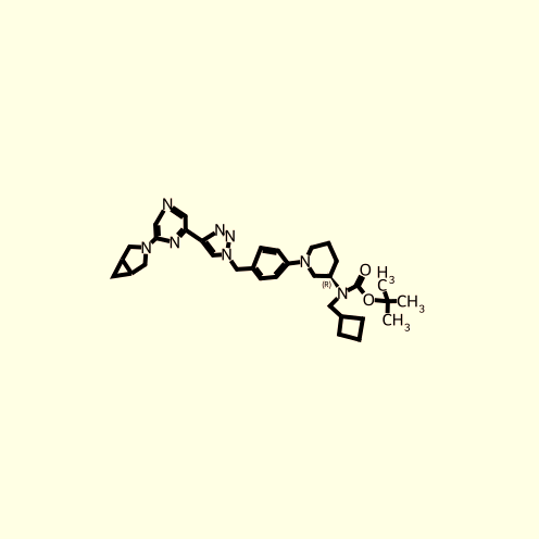 CC(C)(C)OC(=O)N(CC1CCC1)[C@@H]1CCCN(c2ccc(Cn3cc(-c4cncc(N5CC6CC6C5)n4)nn3)cc2)C1